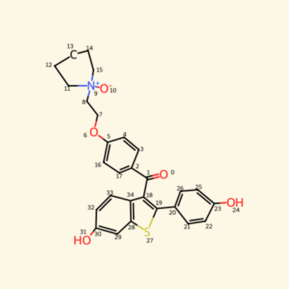 O=C(c1ccc(OCC[N+]2([O-])CCCCC2)cc1)c1c(-c2ccc(O)cc2)sc2cc(O)ccc12